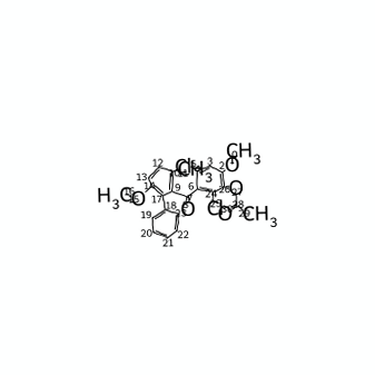 COc1cc(Cl)c(C(=O)c2c(C)ccc(OC)c2-c2ccccc2)c(Cl)c1OC(C)=O